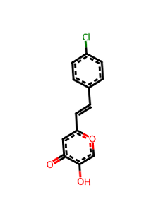 O=c1cc(/C=C/c2ccc(Cl)cc2)occ1O